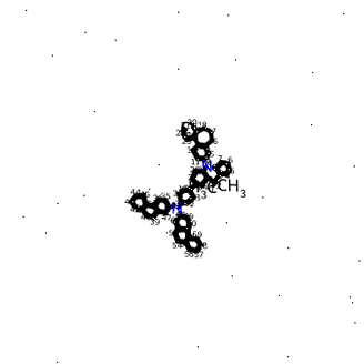 CC1(C)c2ccccc2N(c2ccc3c(c2)CCCc2ccccc2-3)c2ccc(-c3ccc(N(c4ccc5c(ccc6ccccc65)c4)c4ccc5c(ccc6ccccc65)c4)cc3)cc21